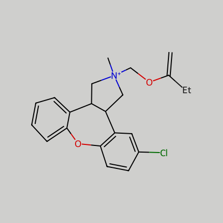 C=C(CC)OC[N+]1(C)CC2c3ccccc3Oc3ccc(Cl)cc3C2C1